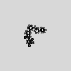 O=C1CCC(N2Cc3cc(-c4cc(CN5CCC[C@@H](c6ccccc6)C5)ccn4)ccc3C2=O)C(=O)N1